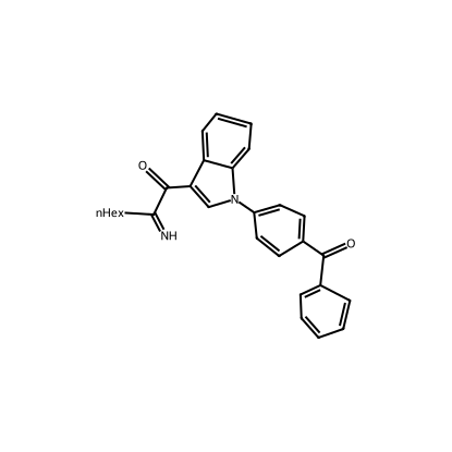 CCCCCCC(=N)C(=O)c1cn(-c2ccc(C(=O)c3ccccc3)cc2)c2ccccc12